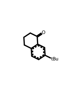 CC(C)(C)c1ccc2c(c1)C(=O)CCC2